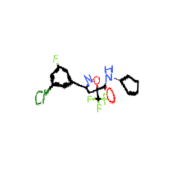 O=C(N[C@H]1C=CCC1)C1(C(F)(F)F)CC(c2cc(F)cc(Cl)c2)=NO1